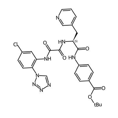 CC(C)(C)OC(=O)c1ccc(NC(=O)[C@H](Cc2cccnc2)NC(=O)C(=O)Nc2cc(Cl)ccc2-n2cnnn2)cc1